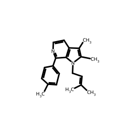 CC(C)=CCn1c(C)c(C)c2ccnc(-c3ccc(C)cc3)c21